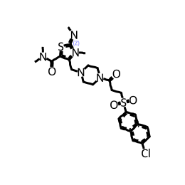 C/N=c1\sc(C(=O)N(C)C)c(CN2CCN(C(=O)CCS(=O)(=O)c3ccc4cc(Cl)ccc4c3)CC2)n1C